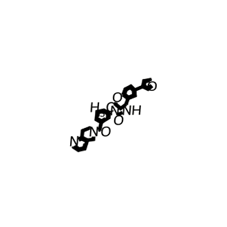 CC12CC(NC(=O)N1c1cccc(C(=O)N3CCc4ncccc4C3)c1)c1cc(-c3ccoc3)ccc1O2